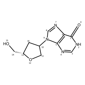 O=c1[nH]cnc2c1ncn2C1CO[C@H](CO)C1